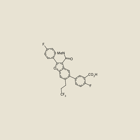 CNC(=O)c1c(-c2ccc(F)cc2)oc2cc(CCC(F)(F)F)c(-c3ccc(F)c(C(=O)O)c3)cc12